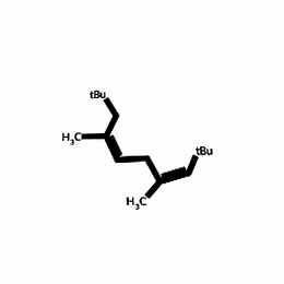 CC(=CC(C)(C)C)CC=C(C)CC(C)(C)C